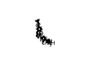 Cc1nc(N2CCN(Cc3cccc(OCC4CC4)c3)C2=O)ccc1-c1cn[nH]c1